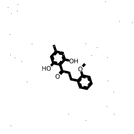 COc1ccccc1CCC(=O)c1c(O)cc(C)cc1O